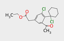 CCOC(=O)Cc1cc(Cl)c(C2(Cl)CCCCC2)c(C(C)=O)c1